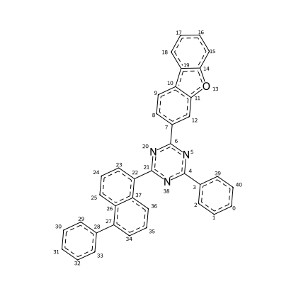 c1ccc(-c2nc(-c3ccc4c(c3)oc3ccccc34)nc(-c3cccc4c(-c5ccccc5)cccc34)n2)cc1